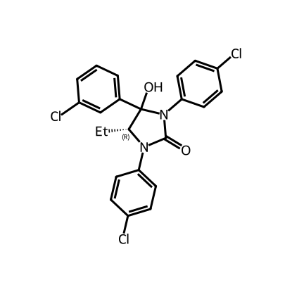 CC[C@H]1N(c2ccc(Cl)cc2)C(=O)N(c2ccc(Cl)cc2)C1(O)c1cccc(Cl)c1